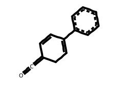 O=C=C1C=CC(c2ccccc2)=CC1